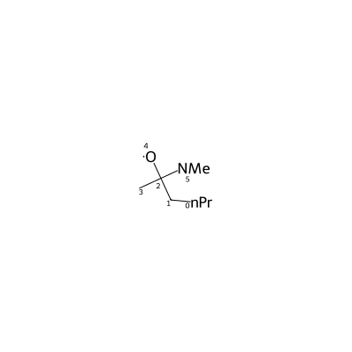 CCCCC(C)([O])NC